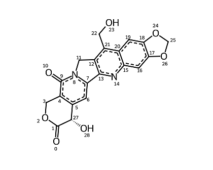 O=C1OCc2c(cc3n(c2=O)Cc2c-3nc3cc4c(cc3c2CO)OCO4)[C@@H]1O